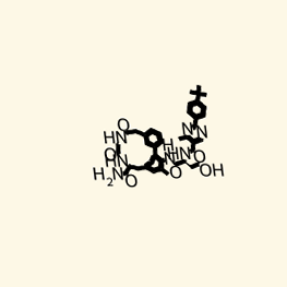 Cc1cc2cc(c1NC(=O)[C@H](CCO)NC(=O)c1cnc(-c3ccc(C(C)(C)C)cc3)nc1C)-c1cccc(c1)CC(=O)NCC(=O)NC(C(N)=O)C2